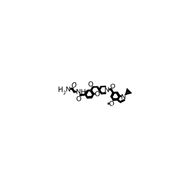 COc1cc(C(=O)N2CCC3(CC2)CC(=O)c2cc(C(=O)NCC(N)=O)ccc2O3)cc2c1ccn2C1CC1